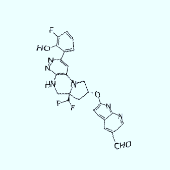 O=Cc1cnc2nc(O[C@H]3CN4c5cc(-c6cccc(F)c6O)nnc5NC[C@@]4(C(F)F)C3)ccc2c1